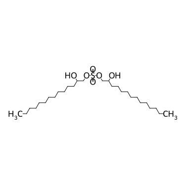 CCCCCCCCCCCCC(O)COS(=O)(=O)OCC(O)CCCCCCCCCCCC